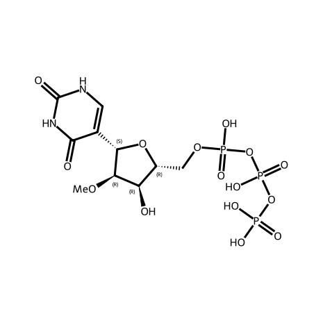 CO[C@@H]1[C@H](O)[C@@H](COP(=O)(O)OP(=O)(O)OP(=O)(O)O)O[C@H]1c1c[nH]c(=O)[nH]c1=O